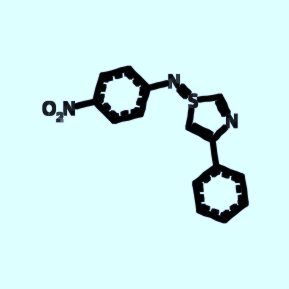 O=[N+]([O-])c1ccc(N=S2C=NC(c3ccccc3)=C2)cc1